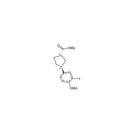 COC(=O)[C@H]1CC[C@H](c2ccc(OC)c(I)c2)C1